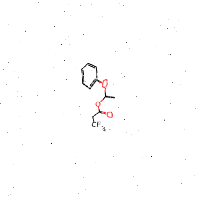 CC(OC(=O)CC(F)(F)F)Oc1ccccc1